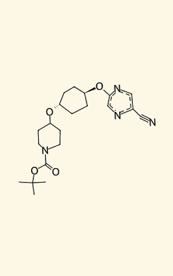 CC(C)(C)OC(=O)N1CCC(O[C@H]2CC[C@H](Oc3cnc(C#N)cn3)CC2)CC1